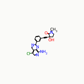 CN1CCC(O)(C#Cc2cccc(-c3ncc4c(Cl)cnc(N)c4n3)c2)C1=O